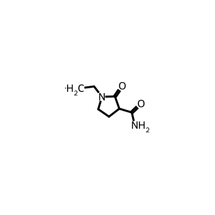 [CH2]CN1CCC(C(N)=O)C1=O